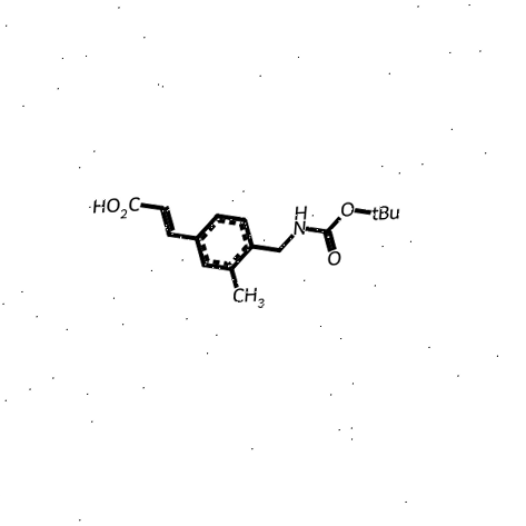 Cc1cc(/C=C/C(=O)O)ccc1CNC(=O)OC(C)(C)C